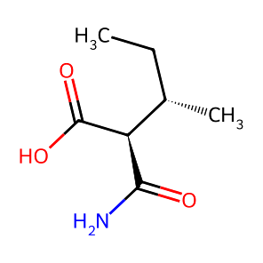 CC[C@H](C)[C@@H](C(N)=O)C(=O)O